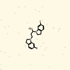 CC(C)(C)C(CCN1CCc2ccc(F)cc21)N1CCc2ccc(F)cc21